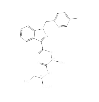 CC(C)(C)[C@H](NC(=O)c1nn(Cc2ccc(F)cc2)c2ccccc12)C(=O)N[C@H](CO)C(=O)O